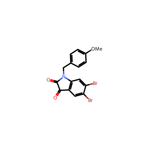 COc1ccc(CN2C(=O)C(=O)c3cc(Br)c(Br)cc32)cc1